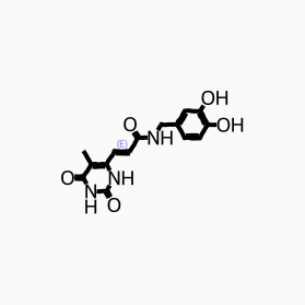 Cc1c(/C=C/C(=O)NCc2ccc(O)c(O)c2)[nH]c(=O)[nH]c1=O